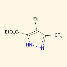 CCOC(=O)c1[nH]nc(C(F)(F)F)c1CC